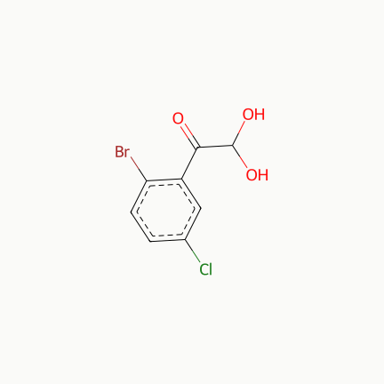 O=C(c1cc(Cl)ccc1Br)C(O)O